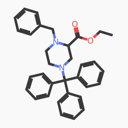 CCOC(=O)C1CN(C(c2ccccc2)(c2ccccc2)c2ccccc2)CCN1Cc1ccccc1